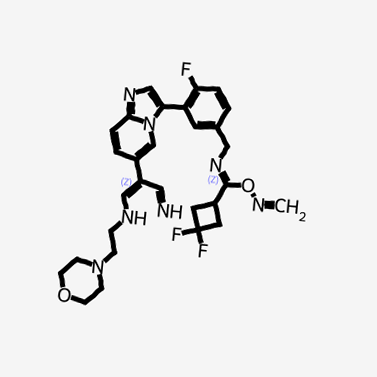 C=NO/C(=N\Cc1ccc(F)c(-c2cnc3ccc(/C(C=N)=C/NCCN4CCOCC4)cn23)c1)C1CC(F)(F)C1